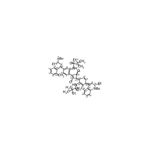 CCCCC(CC)CN(c1ccc(C2=C([O-])/C(=C3C=C/C(=[N+](\CC(CC)CCCC)c4ccccc4C)C=C/3NC(=O)C(C)(C)CC)C2=O)c(NC(=O)C(C)(C)CC)c1)c1ccccc1C